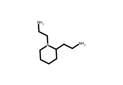 NCCC1CCCCN1CCN